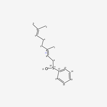 CC(C)=CCC/C(C)=C/C[S+]([O-])c1ccccc1